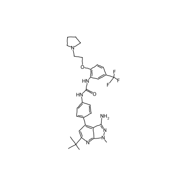 Cn1nc(N)c2c(-c3ccc(NC(=O)Nc4cc(C(F)(F)F)ccc4OCCN4CCCC4)cc3)cc(C(C)(C)C)nc21